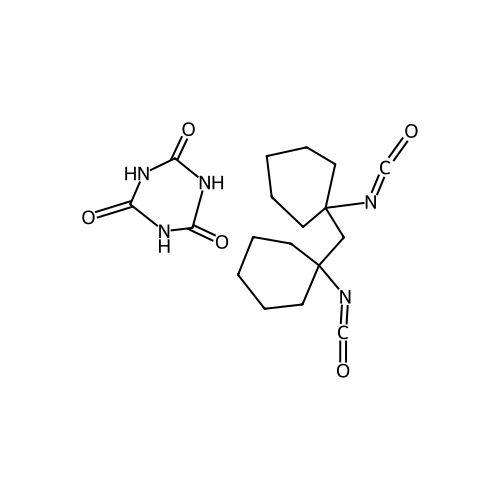 O=C=NC1(CC2(N=C=O)CCCCC2)CCCCC1.O=c1[nH]c(=O)[nH]c(=O)[nH]1